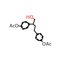 CC(=O)Oc1ccc(CCC(CO)c2ccc(OC(C)=O)cc2)cc1